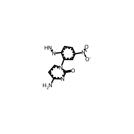 N=Nc1ccc([N+](=O)[O-])cc1-n1ccc(N)nc1=O